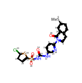 CSc1ccc2ccn(-c3ccc(NC(=O)NS(=O)(=O)C4=CCC(Cl)S4)cn3)c(=O)c2c1